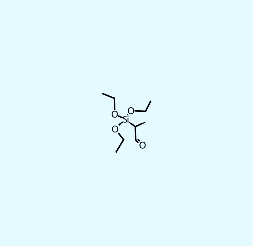 CCO[Si](OCC)(OCC)C(C)C=O